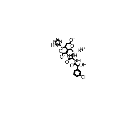 O=C([O-])CC(Sc1nnn[nH]1)C1=C(C(=O)[O-])N2C(=O)C(NC(=O)C(O)c3cccc(Cl)c3)[C@@H]2SC1.[K+].[K+]